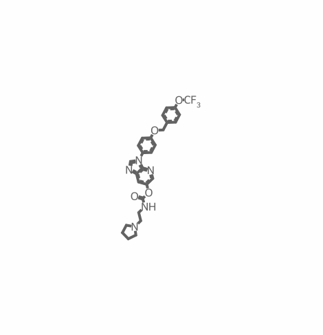 O=C(NCCN1CCCC1)Oc1cnc2c(c1)ncn2-c1ccc(OCc2ccc(OC(F)(F)F)cc2)cc1